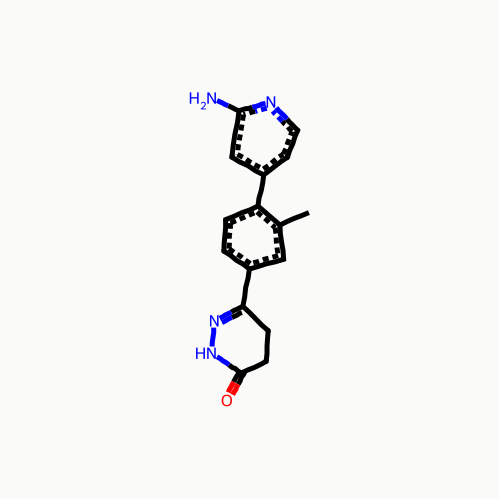 Cc1cc(C2=NNC(=O)CC2)ccc1-c1ccnc(N)c1